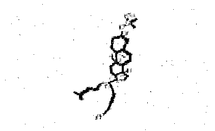 CC(C)=CCC[C@H](CCCC(C)C)[C@H]1CC[C@H]2C3=CC=C4C[C@@H](O[Si](C)(C)C(C)(C)C)CC[C@]4(C)[C@H]3CC[C@]12C